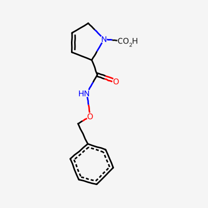 O=C(NOCc1ccccc1)C1C=CCN1C(=O)O